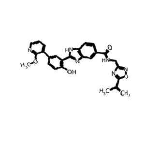 COc1ncccc1-c1ccc(O)c(-c2nc3cc(C(=O)NCc4noc(C(C)C)n4)ccc3[nH]2)c1